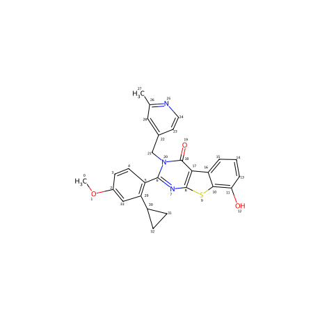 COc1ccc(-c2nc3sc4c(O)cccc4c3c(=O)n2Cc2ccnc(C)c2)c(C2CC2)c1